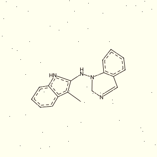 Cc1c(NN2CN=Cc3ccccc32)[nH]c2ccccc12